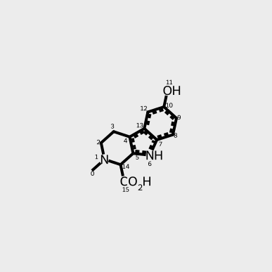 CN1CCc2c([nH]c3ccc(O)cc23)C1C(=O)O